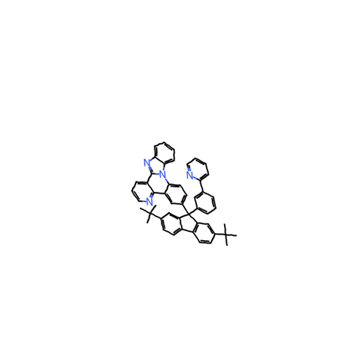 CC(C)(C)c1ccc2c(c1)C(c1cccc(-c3ccccn3)c1)(c1ccc3c(c1)c1ncccc1c1nc4ccccc4n31)c1cc(C(C)(C)C)ccc1-2